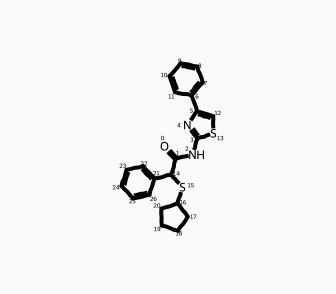 O=C(Nc1nc(-c2ccccc2)cs1)C(SC1CCCC1)c1ccccc1